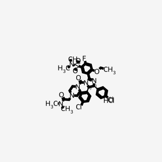 CCOc1cc(F)c(S(=O)(=O)N(C)C)cc1C1=N[C@@H](c2ccc(Cl)cc2)[C@@H](c2ccc(Cl)cc2)N1C(=O)N1CCN(CC(=O)N(C)C)CC1.Cl